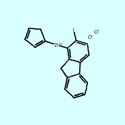 Ic1ccc2c([c]1[Zr+2][C]1=CC=CC1)Cc1ccccc1-2.[Cl-].[Cl-]